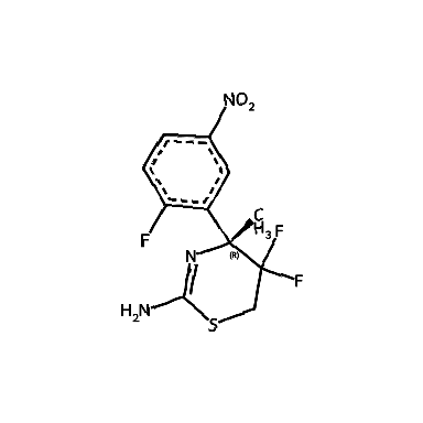 C[C@]1(c2cc([N+](=O)[O-])ccc2F)N=C(N)SCC1(F)F